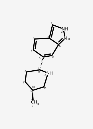 C[C@H]1CC[C@H](c2ccc3c[nH]nc3c2)NC1